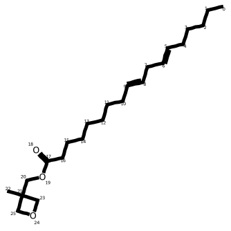 CCCCCC=CCC=CCCCCCCCC(=O)OCC1(C)COC1